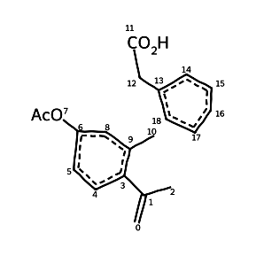 C=C(C)c1ccc(OC(C)=O)cc1C.O=C(O)Cc1ccccc1